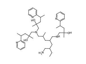 CCC(CN)CC(CNCC(C)(O)CC(C)c1ccccn1)CC(C)CN(CC(C)(O)CC(C)c1ccccn1)CC(C)(O)CC(C)c1ccccn1